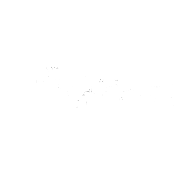 COP(O)OCC1CC(F)(F)[C@H](n2ccc(NC(=O)OCc3cc4cc(C)cc(C)c4o3)nc2=O)O1